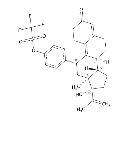 C=C(C)[C@]1(O)CC[C@H]2[C@@H]3CCC4=CC(=O)CCC4=C3[C@@H](c3ccc(OS(=O)(=O)C(F)(F)F)cc3)C[C@@]21C